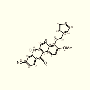 COc1ccc2c(C(=O)c3ccc(C#N)cc3)c([N+](=O)[O-])cnc2c1OCc1ccccc1